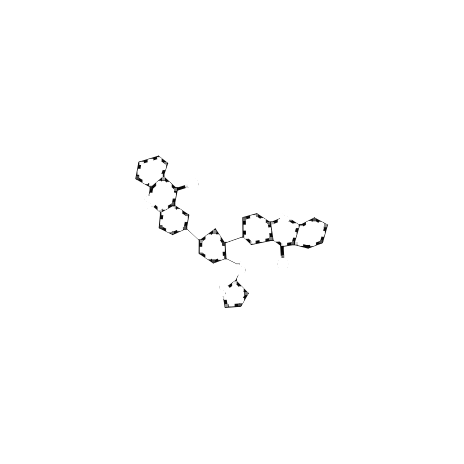 O=c1c2ccccc2sc2ccc(-c3ccc(Sc4cccs4)c(-c4ccc5sc6ccccc6c(=O)c5c4)c3)cc12